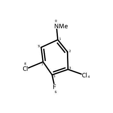 CNc1cc(Cl)c(F)c(Cl)c1